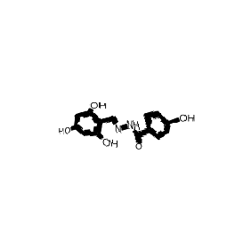 O=C(NN=Cc1c(O)cc(O)cc1O)c1ccc(O)cc1